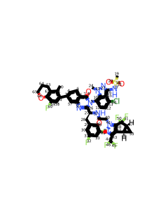 Cc1c(-c2ccc3c(=O)n(-c4ccc(Cl)c5c(NS(C)(=O)=O)nn(C)c45)c([C@H](Cc4cc(F)cc(F)c4)NC(=O)Cn4nc(C(F)F)c5c4C(F)(F)[C@@H]4C[C@@H]54)nc3c2)cc(F)c2c1CCCO2